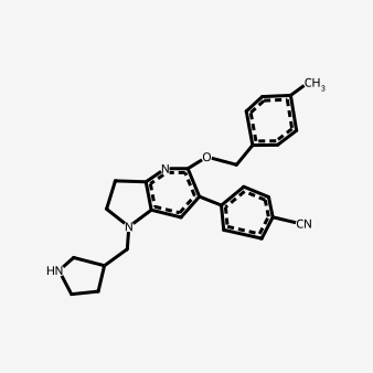 Cc1ccc(COc2nc3c(cc2-c2ccc(C#N)cc2)N(CC2CCNC2)CC3)cc1